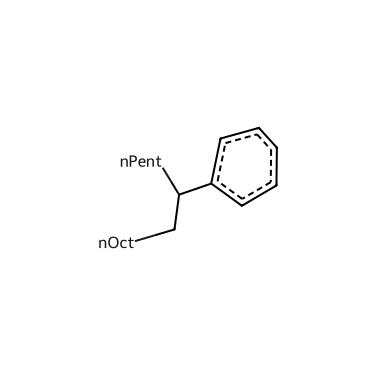 CCCCCCCCCC(CCCCC)c1ccccc1